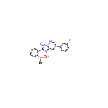 CCC(O)c1ccccc1-c1nc2cc(-c3cccc(F)c3)cnc2[nH]1